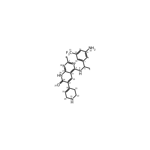 Cc1nc(NC(C)c2cc(N)cc(C(F)(F)F)c2)c2cc(C3=CCNCC3)c(=O)[nH]c2n1